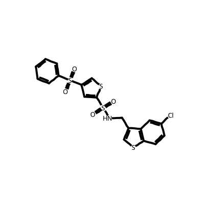 O=S(=O)(NCc1csc2ccc(Cl)cc12)c1cc(S(=O)(=O)c2ccccc2)cs1